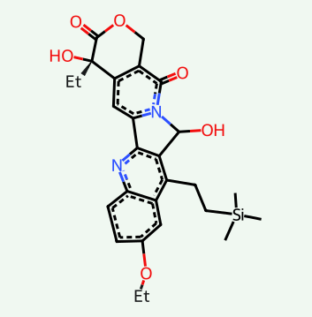 CCOc1ccc2nc3c(c(CC[Si](C)(C)C)c2c1)C(O)n1c-3cc2c(c1=O)COC(=O)[C@]2(O)CC